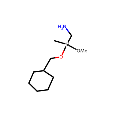 CO[Si](C)(CN)OCC1CCCCC1